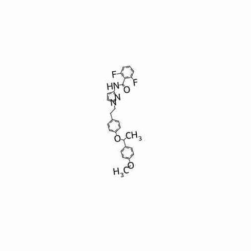 COc1ccc(C(C)Oc2ccc(CCn3ccc(NC(=O)c4c(F)cccc4F)n3)cc2)cc1